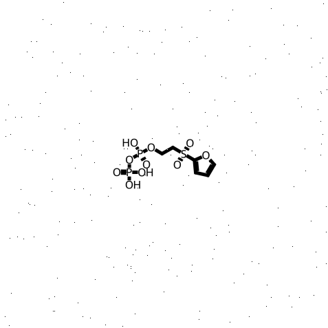 O=P(O)(O)OP(=O)(O)OCCS(=O)(=O)c1ccco1